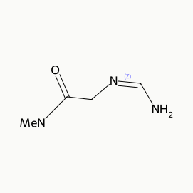 CNC(=O)C/N=C\N